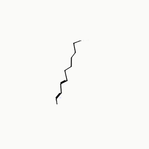 CCCCCCCCCCCC/C=C/C=C/C(=O)O